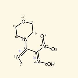 C/N=C(\C(=N\O)[N+](=O)[O-])N1CCOCC1